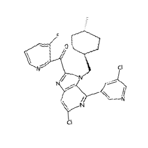 C[C@H]1CC[C@H](Cn2c(C(=O)c3ncccc3F)nc3cc(Cl)nc(-c4cncc(Cl)c4)c32)CC1